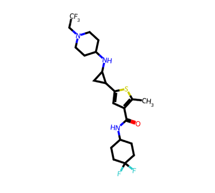 Cc1sc(C2CC2NC2CCN(CC(F)(F)F)CC2)cc1C(=O)NC1CCC(F)(F)CC1